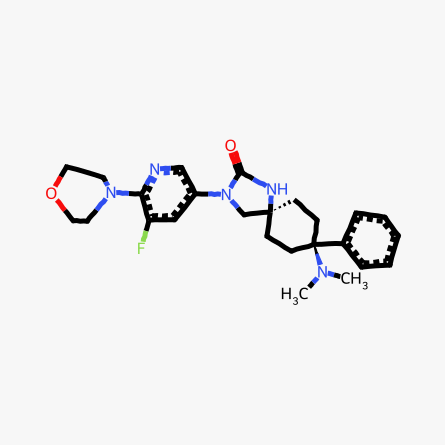 CN(C)[C@]1(c2ccccc2)CC[C@]2(CC1)CN(c1cnc(N3CCOCC3)c(F)c1)C(=O)N2